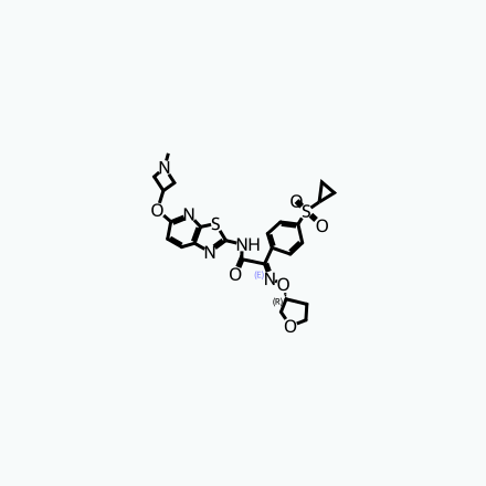 CN1CC(Oc2ccc3nc(NC(=O)/C(=N/O[C@@H]4CCOC4)c4ccc(S(=O)(=O)C5CC5)cc4)sc3n2)C1